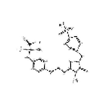 CN1C(=O)N(Cc2ccc(S(C)(=O)=O)cc2)CC1CCOc1ccc(OC(C)(C)C(=O)O)cc1